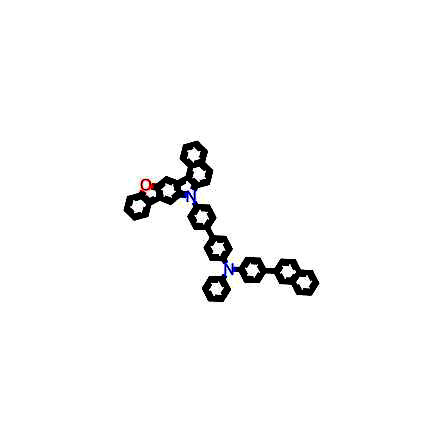 c1ccc(N(c2ccc(-c3ccc(-n4c5cc6c(cc5c5c7ccccc7ccc54)oc4ccccc46)cc3)cc2)c2ccc(-c3ccc4ccccc4c3)cc2)cc1